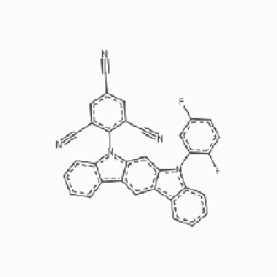 N#Cc1cc(C#N)c(-n2c3ccccc3c3cc4c5ccccc5n(-c5cc(F)ccc5F)c4cc32)c(C#N)c1